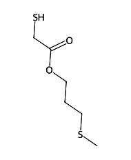 CSCCCOC(=O)CS